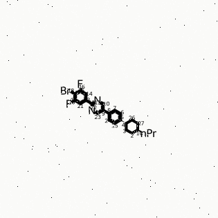 CCC[C@H]1CC[C@H](c2ccc(-c3cnc(-c4cc(F)c(Br)c(F)c4)nc3)cc2)CC1